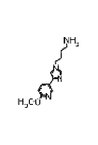 COc1ccc(-c2cn(CCCCN)cn2)cn1